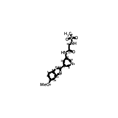 COc1ccc2sc(-c3cncc(NC(=O)CNS(C)(=O)=O)c3)nc2c1